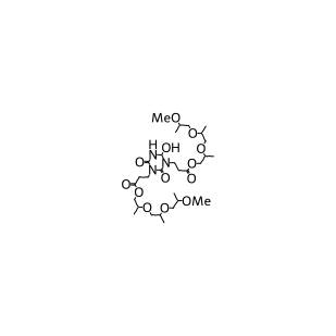 COC(C)COC(C)COC(C)COC(=O)CCN1C(=O)NC(O)N(CCC(=O)OCC(C)OCC(C)OCC(C)OC)C1=O